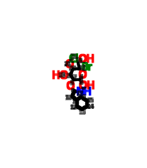 OC[C@@]1(Br)O[C@@H](O)[C@H](Oc2cc3ccccc3[nH]2)[C@@H](O)[C@H]1OCl